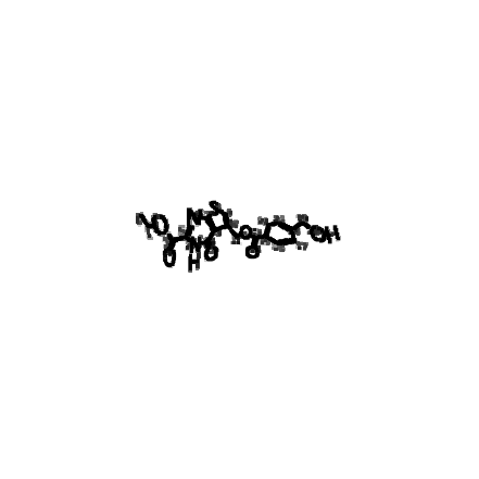 CCOC(=O)c1nc2scc(COC(=O)c3ccc(CO)cc3)c2c(=O)[nH]1